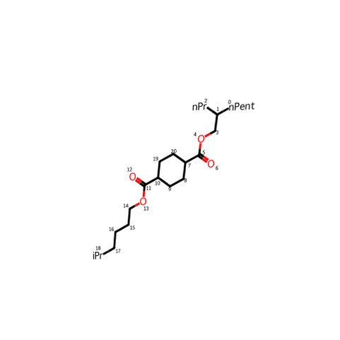 CCCCCC(CCC)COC(=O)C1CCC(C(=O)OCCCCC(C)C)CC1